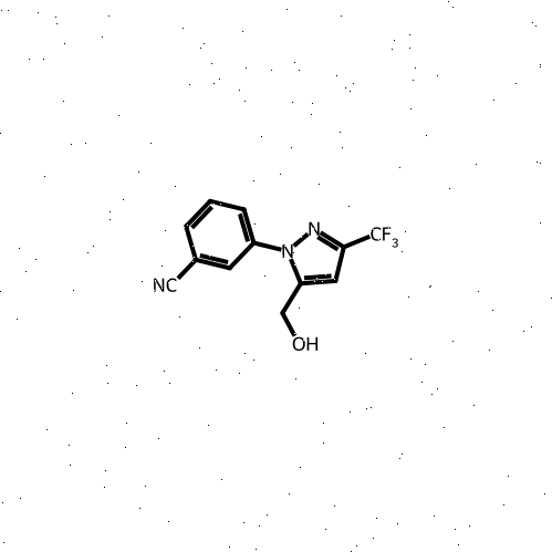 N#Cc1cccc(-n2nc(C(F)(F)F)cc2CO)c1